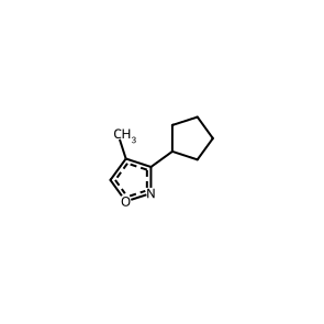 Cc1conc1C1CCCC1